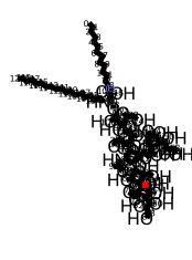 CCCCCCCCCCCCC/C=C/[C@@H](O)[C@H](CO[C@@H]1OC(CO)[C@@H](O[C@@H]2OC(CO)[C@H](O[C@@H]3OC(CO[C@]4(C(=O)O)CC(O)[C@@H](O)C([C@H](O)[C@H](O)CO)O4)[C@H](O)[C@H](O[C@@H]4OC(CO)[C@H](O)[C@H](O[C@]5(C(=O)O)CC(O)[C@@H](O)C([C@H](O)[C@H](O)CO)O5)C4O)C3NC(C)=O)[C@H](O)C2O)[C@H](O)C1O)NC(=O)CCCCCCCCCCCCCCCCC